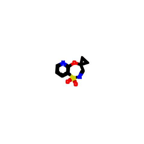 O=S1(=O)N=CC2(CC2)Oc2ncccc21